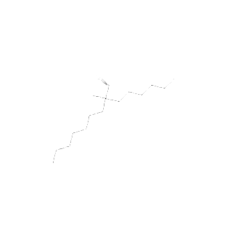 CCCCCCCC(C)(C=S)CCCCCC